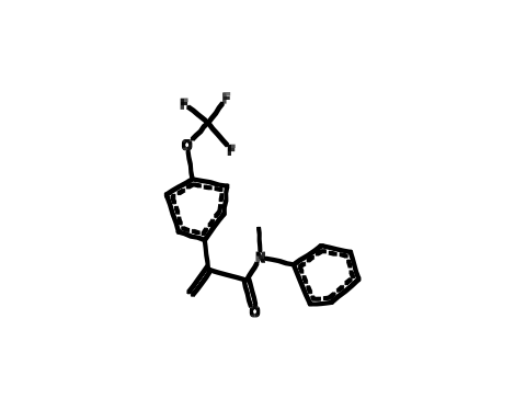 C=C(C(=O)N(C)c1ccccc1)c1ccc(OC(F)(F)F)cc1